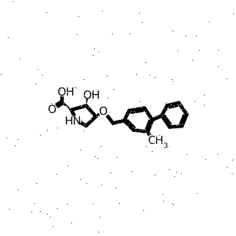 Cc1cc(CO[C@H]2CN[C@@H](C(=O)O)[C@@H]2O)ccc1-c1ccccc1